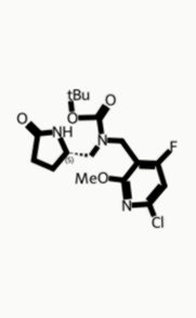 COc1nc(Cl)cc(F)c1CN(C[C@@H]1CCC(=O)N1)C(=O)OC(C)(C)C